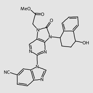 COC(=O)Cn1c(=O)n(C2CCC(O)c3ccccc32)c2nc(-n3cnc4ccc(C#N)cc43)ncc21